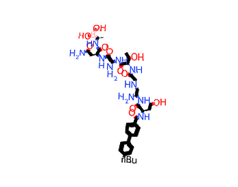 CCCCc1ccc(-c2ccc(C(=O)N[C@H](CCO)C(=O)N[C@H](N)CNCC(=O)N[C@H](C(=O)N[C@@H](N)C(=O)N[C@@H](CC(N)=O)C(=O)N[C@@H](C)B(O)O)C(C)O)cc2)cc1